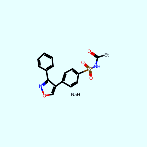 CCC(=O)NS(=O)(=O)c1ccc(-c2conc2-c2ccccc2)cc1.[NaH]